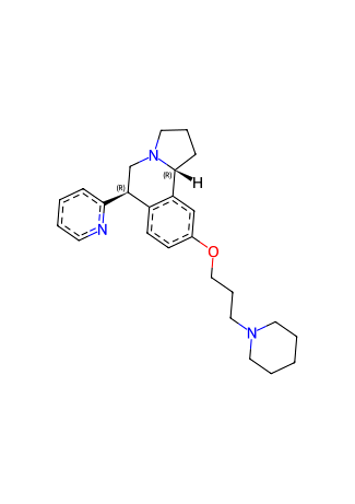 c1ccc([C@H]2CN3CCC[C@@H]3c3cc(OCCCN4CCCCC4)ccc32)nc1